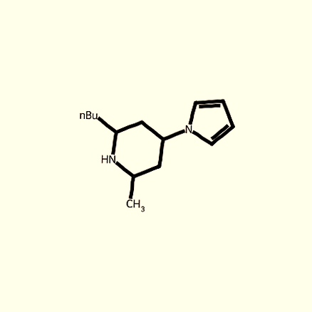 CCCCC1CC(n2cccc2)CC(C)N1